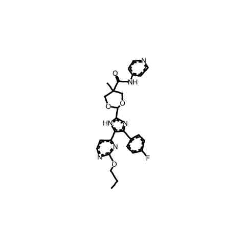 CCCOc1nccc(-c2[nH]c(C3OCC(C)(C(=O)Nc4ccncc4)CO3)nc2-c2ccc(F)cc2)n1